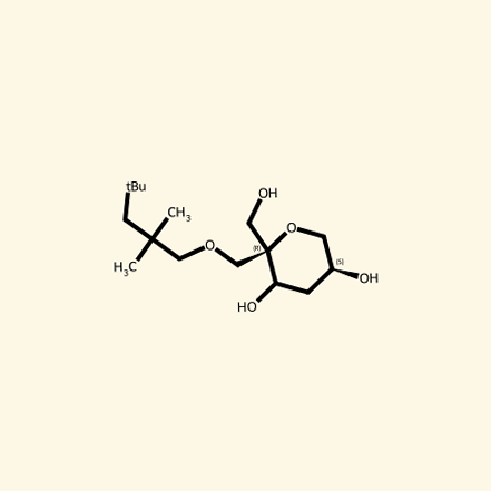 CC(C)(C)CC(C)(C)COC[C@@]1(CO)OC[C@@H](O)CC1O